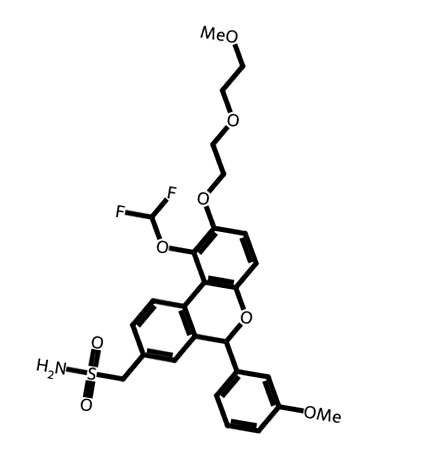 COCCOCCOc1ccc2c(c1OC(F)F)-c1ccc(CS(N)(=O)=O)cc1C(c1cccc(OC)c1)O2